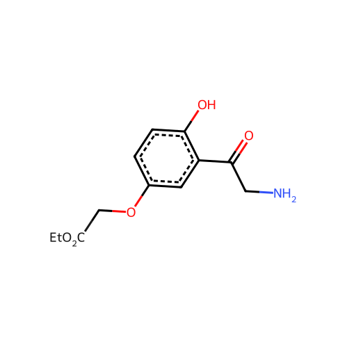 CCOC(=O)COc1ccc(O)c(C(=O)CN)c1